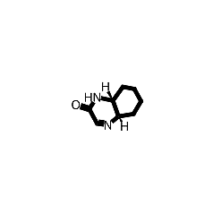 O=C1C=N[C@@H]2CCCC[C@H]2N1